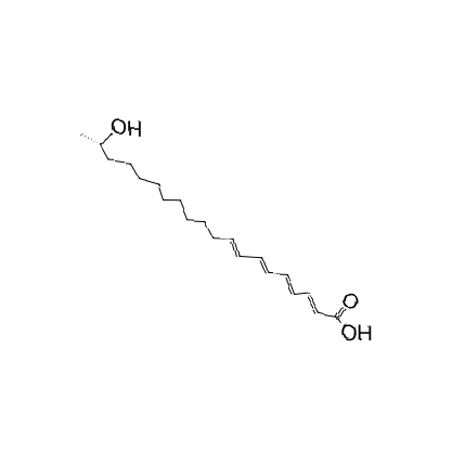 C[C@H](O)CCCCCCCCCC=CC=CC=CC=CC(=O)O